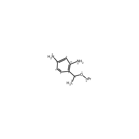 CCCOC(C)c1ccc(N)cc1N